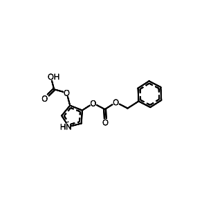 O=C(O)Oc1c[nH]cc1OC(=O)OCc1ccccc1